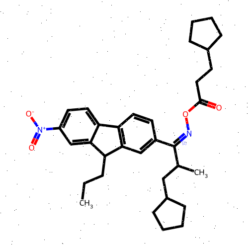 CCCC1c2cc(/C(=N\OC(=O)CCC3CCCC3)C(C)CC3CCCC3)ccc2-c2ccc([N+](=O)[O-])cc21